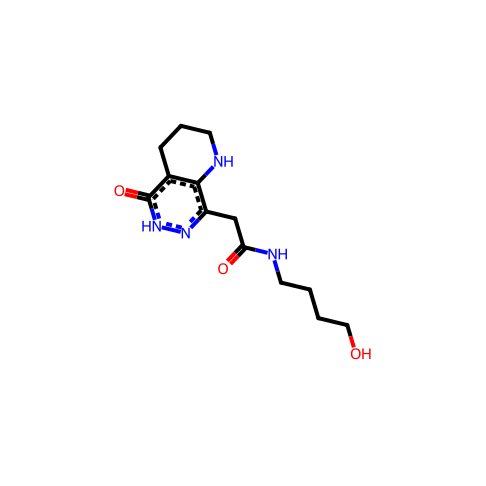 O=C(Cc1n[nH]c(=O)c2c1NCCC2)NCCCCO